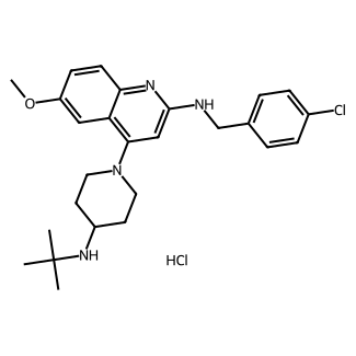 COc1ccc2nc(NCc3ccc(Cl)cc3)cc(N3CCC(NC(C)(C)C)CC3)c2c1.Cl